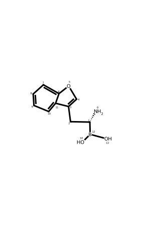 N[C@@H](Cc1coc2ccccc12)B(O)O